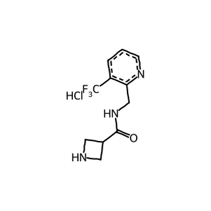 Cl.O=C(NCc1ncccc1C(F)(F)F)C1CNC1